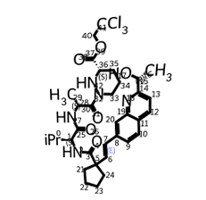 CC(C)[C@H](NC(=O)C1(/C=C/c2ccc3ccc([C@@H](C)O)nc3c2)CCCC1)C(=O)N[C@@H](C)C(=O)N1CCC[C@@H](C(=O)OCC(Cl)(Cl)Cl)N1